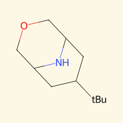 CC(C)(C)C1CC2COCC(C1)N2